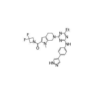 CCc1nc(Nc2ccc(-c3cn[nH]c3)cc2)nc(N2CCc3cc(C(=O)N4CC(F)(F)C4)n(C)c3C2)n1